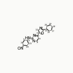 O=Nc1ccc(Nc2nccc(-c3cnc(-c4ccccc4)o3)n2)cc1